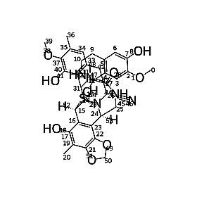 COc1cc2c(cc1O)CCN[C@]21CS[C@@H]2c3c(O)c(C)c4c(c3[C@H](CNC1=O)N1[C@@H]2C2c3c(cc(C)c(OC)c3O)CC([C@@H]1C#N)N2C)OCO4